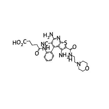 N#Cc1c(N)nc2sc(C(=O)NCCN3CCOCC3)c(N)c2c1-c1ccccc1NC(=O)CCCC(=O)O